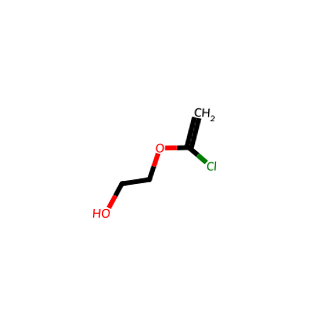 C=C(Cl)OCCO